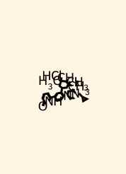 CC1(C)CC(c2cc(-c3cccc(=O)[nH]3)ccc2N2CCN(CC3CC3)CC2)CC(C)(C)C1.Cl